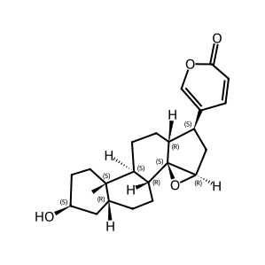 C[C@]12CC[C@H](O)C[C@H]1CC[C@@H]1[C@@H]2CC[C@@H]2[C@@H](c3ccc(=O)oc3)C[C@H]3O[C@]213